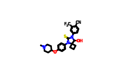 CN1CCC(Oc2ccc(N3C(=S)N(c4ccc(C#N)c(C(F)(F)F)c4)C(O)C34CCC4)cc2)CC1